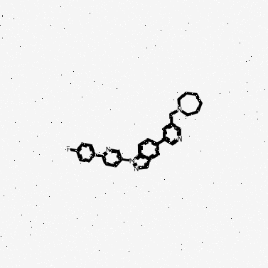 Fc1ccc(-c2ccc(-n3ncc4cc(-c5cncc(CN6CCCCCC6)c5)ccc43)cn2)cc1